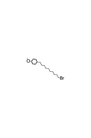 COc1ccc(CCCCCCCCCCBr)cc1